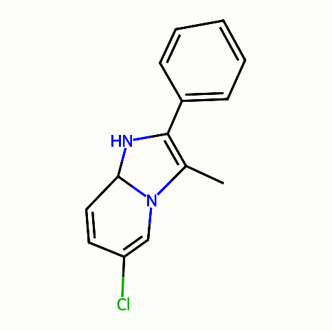 CC1=C(c2ccccc2)NC2C=CC(Cl)=CN12